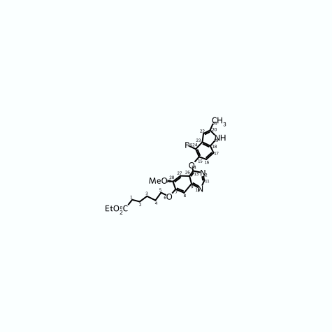 CCOC(=O)CCCCCOc1cc2ncnc(Oc3ccc4[nH]c(C)cc4c3F)c2cc1OC